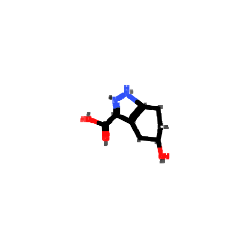 O=C(O)c1n[nH]c2c1CC(O)CC2